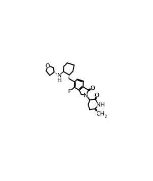 C=C1CCC(N2Cc3c(ccc(C[C@H]4CCCC[C@@H]4N[C@@H]4CCOC4)c3F)C2=O)C(=O)N1